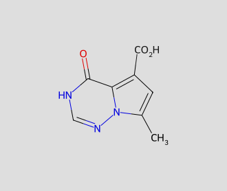 Cc1cc(C(=O)O)c2c(=O)[nH]cnn12